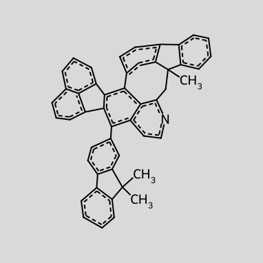 CC1(C)c2ccccc2-c2ccc(-c3c4c(c5c6c(nccc36)CC3(C)c6ccccc6-c6ccc-5cc63)-c3cccc5cccc-4c35)cc21